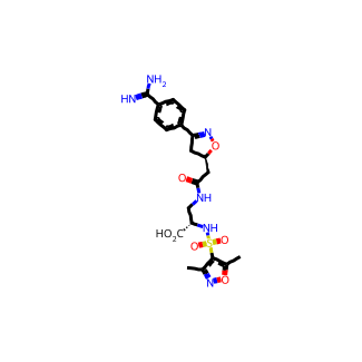 Cc1noc(C)c1S(=O)(=O)N[C@@H](CNC(=O)C[C@H]1CC(c2ccc(C(=N)N)cc2)=NO1)C(=O)O